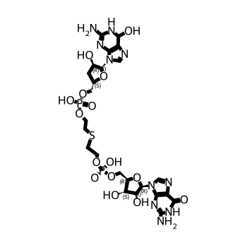 NC1=Nc2c(ncn2[C@@H]2O[C@H](COP(=O)(O)OCCSCCOP(=O)(O)OC[C@H]3O[C@@H](n4cnc5c(=O)[nH]c(N)nc54)[C@H](O)[C@@H]3O)C[C@H]2O)C(O)N1